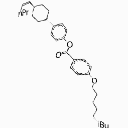 CCC/C=C\[C@H]1CC[C@H](c2ccc(OC(=O)c3ccc(OCCCCC[C@@H](C)CC)cc3)cc2)CC1